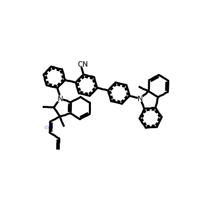 C=C/C=C\C1(C)C2=C(CCC=C2)N(c2ccccc2-c2ccc(-c3ccc(N4c5ccccc5C5C=CC=CC54C)cc3)cc2C#N)C1C